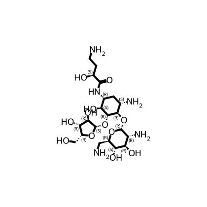 NCC[C@H](O)C(=O)N[C@@H]1C[C@H](N)[C@@H](O[C@H]2O[C@H](CN)[C@@H](O)[C@H](O)[C@H]2N)[C@H](O[C@@H]2O[C@H](CO)[C@H](O)[C@H]2O)[C@H]1O